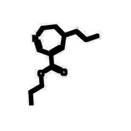 CCCOC(=O)C1=CC(CCC)CCN=C1